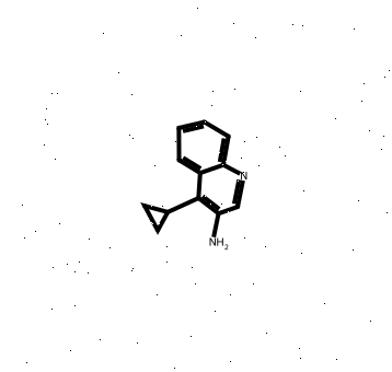 Nc1cnc2ccccc2c1C1CC1